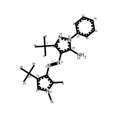 Cc1c(/N=N/c2c(C(C)(C)C)nn(-c3ccccc3)c2N)c(C(C)(C)C)cn1C